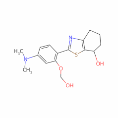 CN(C)c1ccc(-c2nc3c(s2)C(O)CCC3)c(OCO)c1